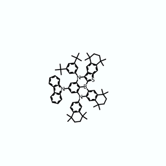 CC(C)(C)c1cc(N2c3cc(-n4c5ccccc5c5ccccc54)cc4c3B(c3cc5c(cc3N4c3ccc4c(c3)C(C)(C)CCC4(C)C)C(C)(C)CCC5(C)C)c3sc4cc5c(cc4c32)C(C)(C)CCC5(C)C)cc(C(C)(C)C)c1